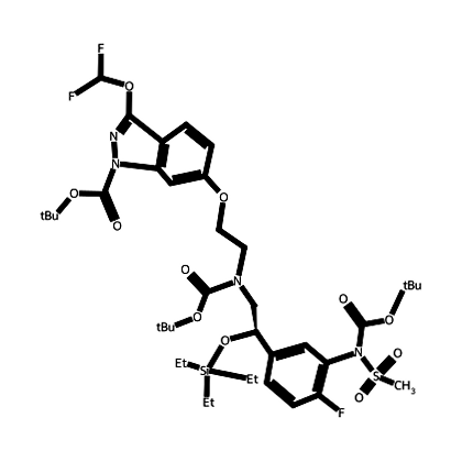 CC[Si](CC)(CC)O[C@@H](CN(CCOc1ccc2c(OC(F)F)nn(C(=O)OC(C)(C)C)c2c1)C(=O)OC(C)(C)C)c1ccc(F)c(N(C(=O)OC(C)(C)C)S(C)(=O)=O)c1